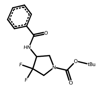 CC(C)(C)OC(=O)N1CC(NC(=O)c2ccccc2)C(F)(F)C1